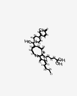 C=C(Cl)/C=C\C(=C/C)C1CCN(C(O)c2cccnc(C(C)/C=C\C=C/CC)c(NCCCC(O)O)nc(C)c2)CC1